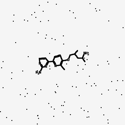 Cc1nc(-c2ccnc(N)n2)ccc1OCC(C)CC(C)N